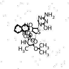 CC(C)OC(=O)[C@H](C)NP(=O)(OC[C@H]1S[C@@H](N2C=NC(N)=NC2O)C(O)[C@H]1O)Oc1cccc2ccccc12